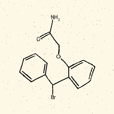 NC(=O)COc1ccccc1C(Br)c1ccccc1